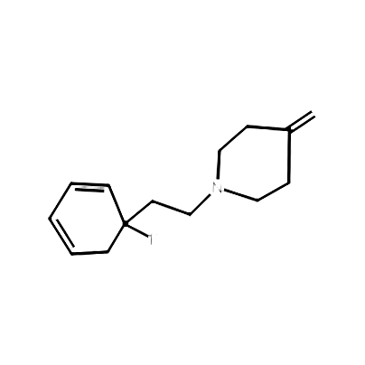 C=C1CCN(CCC2(F)C=CC=CC2)CC1